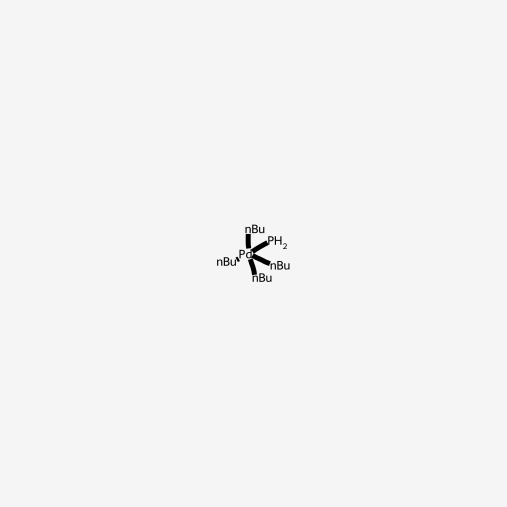 CCC[CH2][Pd]([PH2])([CH2]CCC)([CH2]CCC)[CH2]CCC